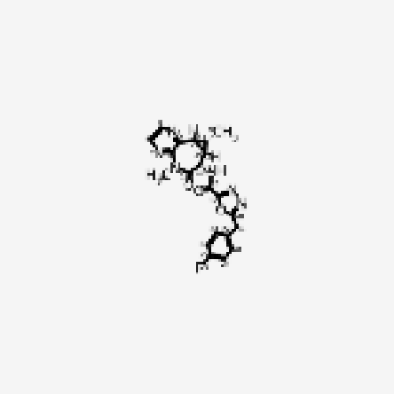 C[C@H]1[C@H]2c3nccnc3N(C)C(=O)[C@@H](NC(=O)c3nnc(Cc4ccc(F)cc4)o3)[C@@H]12